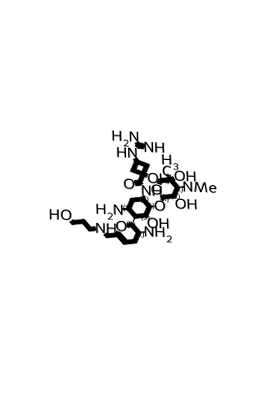 CN[C@@H]1[C@@H](O)[C@@H](O[C@H]2[C@H](NC(=O)C3(O)CC(NC(=N)N)C3)C[C@H](N)C([C@H]3OC(CNCCCO)=CC[C@H]3N)[C@@H]2O)OC[C@]1(C)O